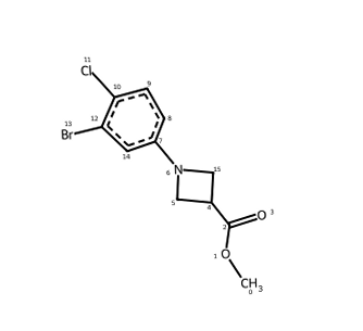 COC(=O)C1CN(c2ccc(Cl)c(Br)c2)C1